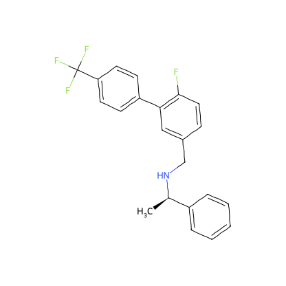 C[C@@H](NCc1ccc(F)c(-c2ccc(C(F)(F)F)cc2)c1)c1ccccc1